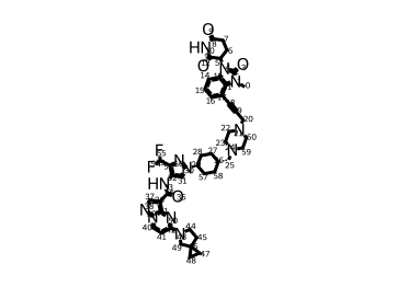 Cn1c(=O)n(C2CCC(=O)NC2=O)c2cccc(C#CCN3CCN(C[C@H]4CC[C@H](n5cc(NC(=O)c6cnn7ccc(N8CCC9(CC9)C8)nc67)c(C(F)F)n5)CC4)CC3)c21